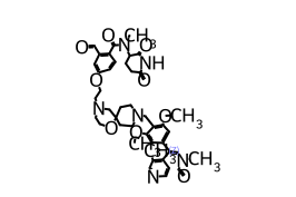 COc1cc(/C(=C/N(C)C=O)c2ccncc2C)cc(OC)c1CN1CCC2(CC1)CN(CCOc1ccc(C(=O)N(C)C3CCC(=O)NC3=O)c(C=O)c1)CCO2